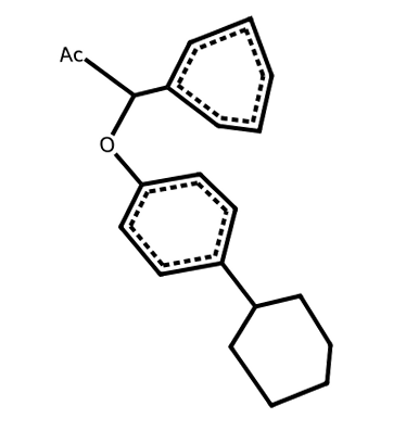 CC(=O)C(Oc1ccc(C2CCCCC2)cc1)c1ccccc1